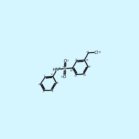 O=S(=O)(Nc1ccccc1)c1cccc(CCl)c1